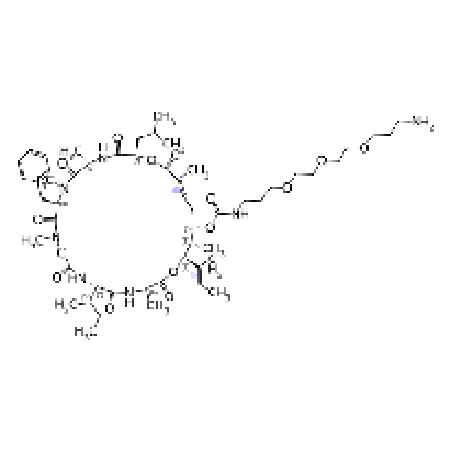 C/C=C(\C)[C@H]1OC(=O)[C@@H](C)NC(=O)[C@H]([C@H](C)CC)NC(=O)CN(C)C(=O)[C@@H](Cc2ccccc2)N(C)C(=O)[C@H](C)NC(=O)[C@@H](CC(C)C)OC(=O)/C(C)=C/C[C@H](OC(=O)NCCCOCCOCCOCCCN)[C@@H]1C